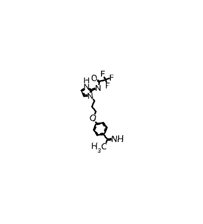 CC(=N)c1ccc(OCCCn2cc[nH]/c2=N\C(=O)C(F)(F)F)cc1